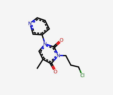 Cc1cn(-c2cccnc2)c(=O)n(CCCCl)c1=O